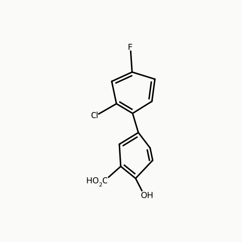 O=C(O)c1cc(-c2ccc(F)cc2Cl)ccc1O